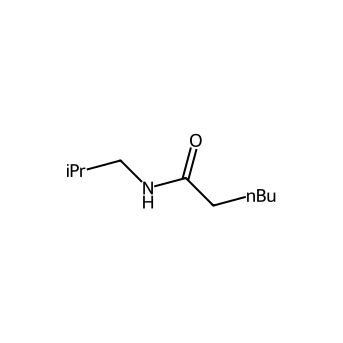 CCCCCC(=O)NCC(C)C